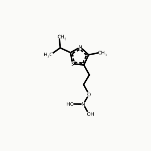 Cc1nc(C(C)C)sc1CCON(O)O